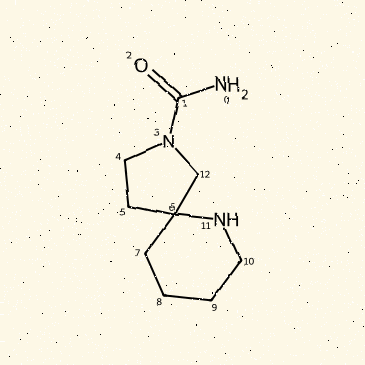 NC(=O)N1CCC2(CCCCN2)C1